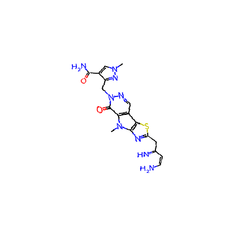 Cn1cc(C(N)=O)c(Cn2ncc3c4sc(CC(=N)/C=C\N)nc4n(C)c3c2=O)n1